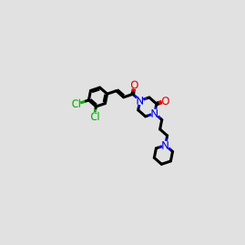 O=C(/C=C/c1ccc(Cl)c(Cl)c1)N1CCN(CCCN2CCCCC2)C(=O)C1